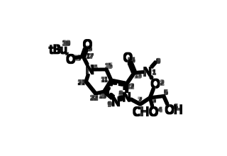 CN1OC(C=O)(CO)Cn2nc3c(c2C1=O)CN(C(=O)OC(C)(C)C)CC3